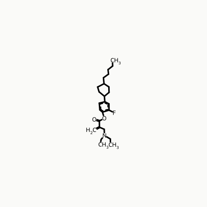 C=C(CN(CC)CC)C(=O)Oc1ccc(C2CCC(CCCCC)CC2)cc1F